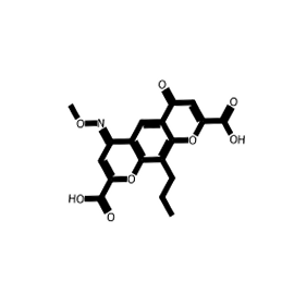 CCCc1c2oc(C(=O)O)cc(=O)c2cc2c(=NOC)cc(C(=O)O)oc12